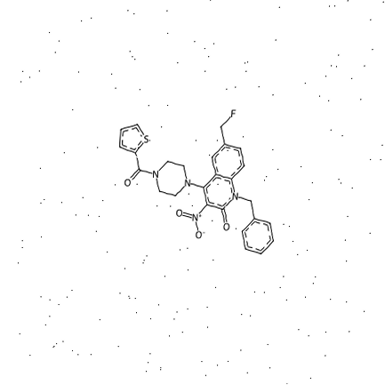 O=C(c1cccs1)N1CCN(c2c([N+](=O)[O-])c(=O)n(Cc3ccccc3)c3ccc(CF)cc23)CC1